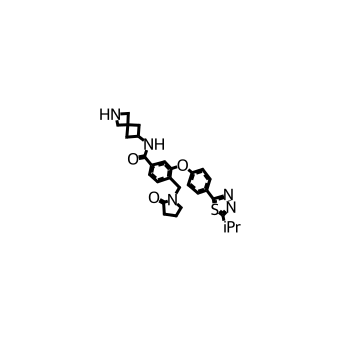 CC(C)c1nnc(-c2ccc(Oc3cc(C(=O)NC4CC5(CNC5)C4)ccc3CN3CCCC3=O)cc2)s1